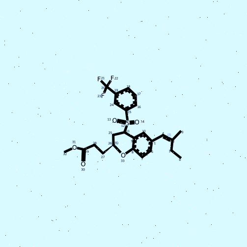 CC/C(C)=C\c1ccc2c(c1)C(S(=O)(=O)c1cccc(C(F)(F)F)c1)C[C@H](CCC(=O)OC)O2